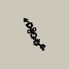 O=S(=O)(c1ccc(Br)cc1)N1CCN(c2nc(-c3ccsc3)cs2)CC1